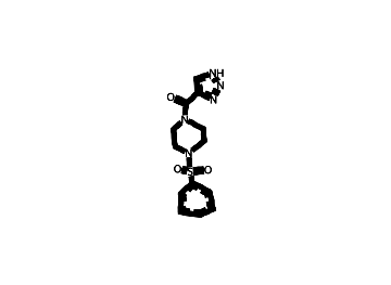 O=C(c1c[nH]nn1)N1CCN(S(=O)(=O)c2ccccc2)CC1